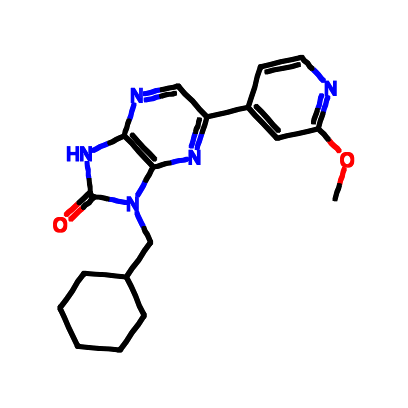 COc1cc(-c2cnc3[nH]c(=O)n(CC4CCCCC4)c3n2)ccn1